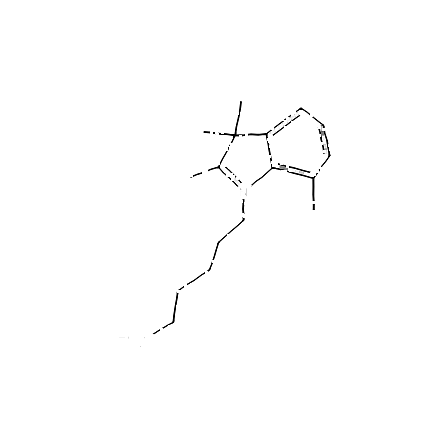 CC1=[N+](CCCCCC(=O)O)c2c(C)cccc2C1(C)C